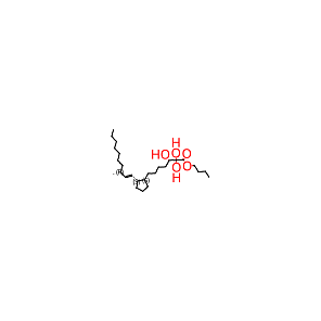 CCCCCCC[C@@H](C)C=C[C@H]1CCC[C@@H]1CCCCC(O)C(O)(O)C(=O)OCCCC